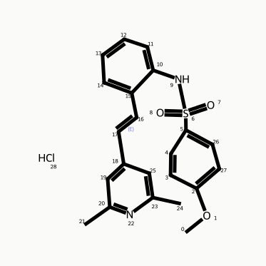 COc1ccc(S(=O)(=O)Nc2ccccc2/C=C/c2cc(C)nc(C)c2)cc1.Cl